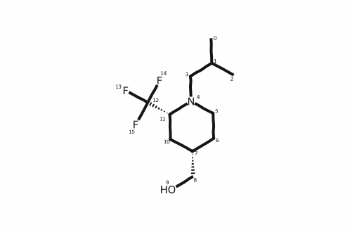 CC(C)CN1CC[C@H](CO)C[C@@H]1C(F)(F)F